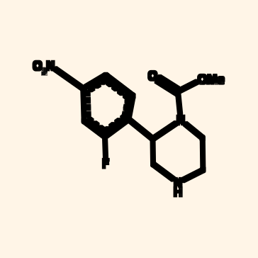 COC(=O)N1CCNCC1c1ccc([N+](=O)[O-])cc1F